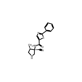 C[C@@H]1CNC[C@@]1(C#N)NC(=O)c1cnc(-c2ccccc2)s1